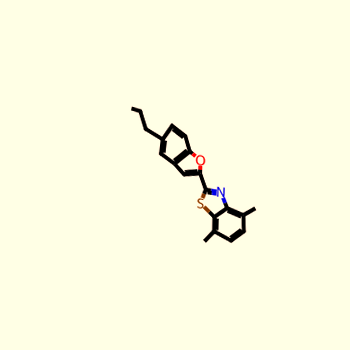 CCCc1ccc2oc(-c3nc4c(C)ccc(C)c4s3)cc2c1